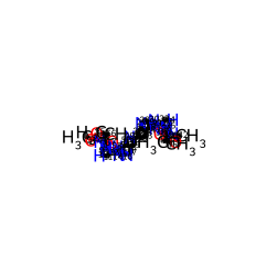 COC(=O)N[C@H](C(=O)N1CCC[C@H]1c1nc2ncc3cc(-c4ccc5c(c4)ncc4nc([C@@H]6CCCN6C(=O)[C@@H](NC(C)=O)C(C)C)[nH]c45)ncc3c2[nH]1)C(C)C